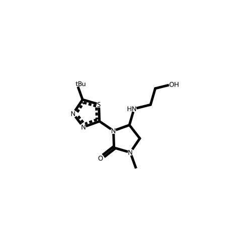 CN1CC(NCCO)N(c2nnc(C(C)(C)C)s2)C1=O